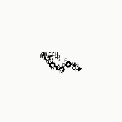 COCCN(Cc1ccc(-c2cc3nccc(Oc4ccc(NC(=O)NC5CC5)cc4F)c3s2)nc1)C(=O)C(N)C(C)(C)C